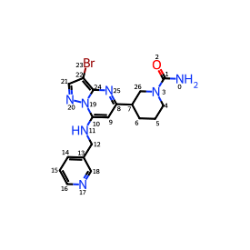 NC(=O)N1CCCC(c2cc(NCc3cccnc3)n3ncc(Br)c3n2)C1